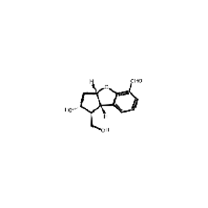 O=Cc1cccc2c1O[C@H]1C[C@@H](O)[C@H](CO)[C@@H]21